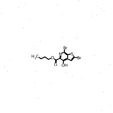 CCCCOC(=O)c1nc(Br)c2sc(Br)cc2c1O